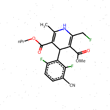 CCCOC(=O)C1=C(C)NC(CF)=C(C(=O)OC)C1c1c(F)ccc(C#N)c1F